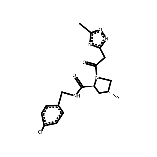 Cc1nc(CC(=O)N2C[C@H](C)C[C@H]2C(=O)NCc2ccc(Cl)cc2)no1